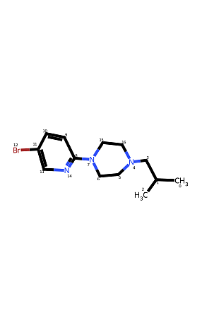 C[C](C)CN1CCN(c2ccc(Br)cn2)CC1